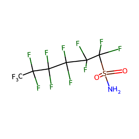 NS(=O)(=O)C(F)(F)C(F)(F)C(F)(F)C(F)(F)C(F)(F)C(F)(F)F